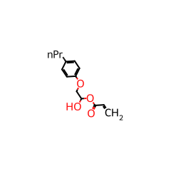 C=CC(=O)OC(O)COc1ccc(CCC)cc1